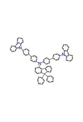 c1ccc(C2(c3ccccc3)c3ccccc3-c3c(N(c4ccc(-c5ccc(-n6c7ccccc7c7ccccc76)cc5)cc4)c4ccc(-c5ccc(-n6c7ccccc7c7ccccc76)cc5)cc4)cccc32)cc1